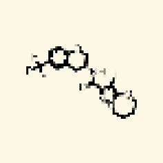 O=C(N[C@H]1COc2ccc(C(F)(F)F)cc2C1)c1nn2c(c1I)OCCCC2